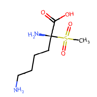 CS(=O)(=O)[C@](N)(CCCCN)C(=O)O